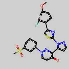 COc1ccc(-c2csc(-n3nccc3-c3nn(-c4cccc(S(C)(=O)=O)c4)ccc3=O)n2)c(F)c1